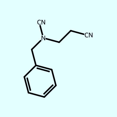 N#CCCN(C#N)Cc1ccccc1